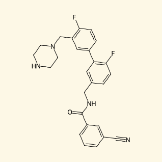 N#Cc1cccc(C(=O)NCc2ccc(F)c(-c3ccc(F)c(CN4CCNCC4)c3)c2)c1